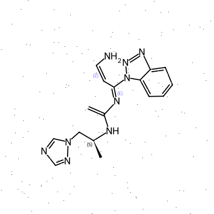 C=C(/N=C(\C=C/N)n1nnc2ccccc21)N[C@@H](C)Cn1cncn1